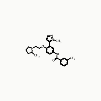 CC1CCCN1CCOc1ccc(NC(=O)c2cccc(C(F)(F)F)c2)cc1-c1ccnn1C